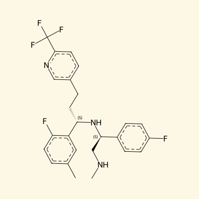 CNC[C@@H](N[C@@H](CCc1ccc(C(F)(F)F)nc1)c1cc(C)ccc1F)c1ccc(F)cc1